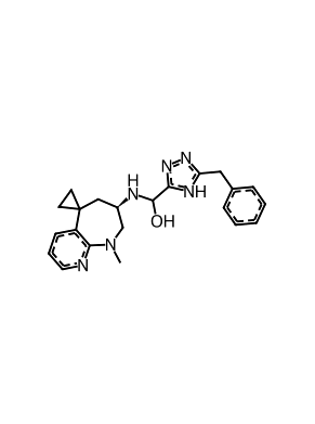 CN1C[C@H](NC(O)c2nnc(Cc3ccccc3)[nH]2)CC2(CC2)c2cccnc21